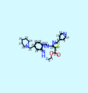 CCOC(=O)c1sc(-c2ccncc2)nc1NCc1ccc(CN2CCCCC2)cc1N